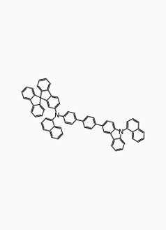 c1ccc2c(c1)-c1ccccc1C21c2ccccc2-c2ccc(N(c3ccc(-c4ccc(-c5ccc6c(c5)c5ccccc5n6-c5cccc6ccccc56)cc4)cc3)c3cccc4ccccc34)cc21